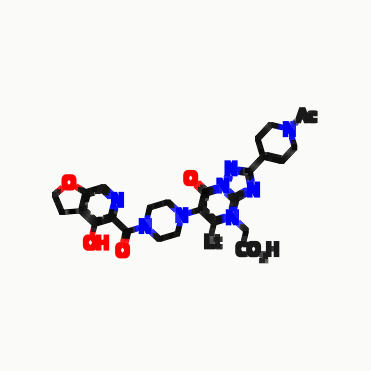 CCc1c(N2CCN(C(=O)c3ncc4c(c3O)CCO4)CC2)c(=O)n2nc(C3=CCN(C(C)=O)CC3)nc2n1CC(=O)O